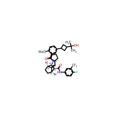 COc1ccc(C2CC(C(C)(C)O)C2)cc1C(=O)N[C@H]1[C@@H](C(=O)Nc2ccc(F)c(C(F)(F)F)c2)[C@H]2CC[C@@H]1/C2=C\C1CCCC1